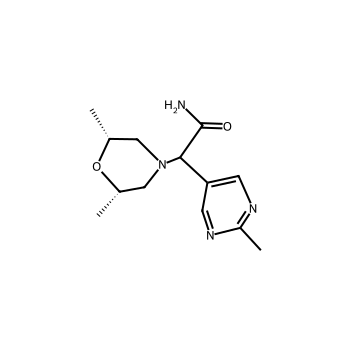 Cc1ncc(C(C(N)=O)N2C[C@@H](C)O[C@@H](C)C2)cn1